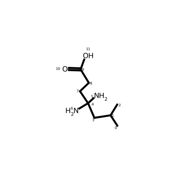 CC(C)CC(N)(N)CCC(=O)O